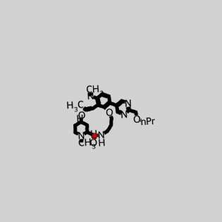 C=Nc1ccc(-c2cnc(COCCC)nc2)c2c1/C=C(\C)O[C@H]1CCN(C)[C@@H](C1)C(=O)NCCCO2